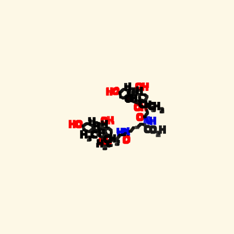 CC(CCC(=O)NCCCCC(NC(=O)CCC(C)C1CC[C@H]2[C@H]3[C@@H](O)C[C@H]4C[C@H](O)CCC4(C)[C@H]3CC(O)C12C)C(=O)O)C1CC[C@H]2[C@H]3[C@@H](O)C[C@H]4C[C@H](O)CCC4(C)[C@H]3CC(O)C12C